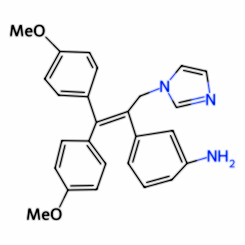 COc1ccc(C(=C(Cn2ccnc2)c2cccc(N)c2)c2ccc(OC)cc2)cc1